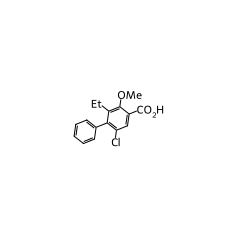 CCc1c(OC)c(C(=O)O)cc(Cl)c1-c1ccccc1